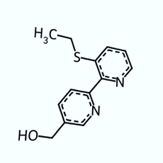 CCSc1cccnc1-c1ccc(CO)cn1